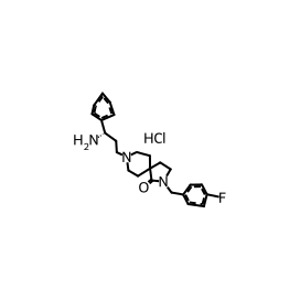 Cl.N[C@@H](CCN1CCC2(CC1)CCN(Cc1ccc(F)cc1)C2=O)c1ccccc1